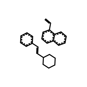 C(=CC1CCCCC1)c1ccccc1.C=Cc1cccc2ccccc12